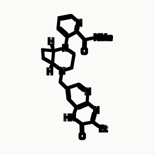 CCc1nc2ncc(CN3CCN(c4cccnc4C(=O)NC)[C@H]4CC[C@H]43)cc2[nH]c1=O